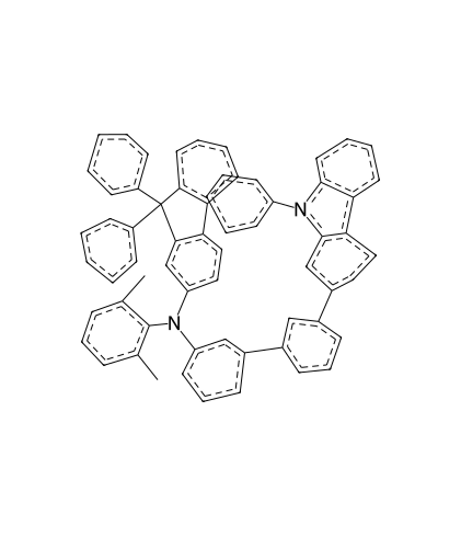 Cc1cccc(C)c1N(c1cccc(-c2cccc(-c3ccc4c5ccccc5n(-c5ccccc5)c4c3)c2)c1)c1ccc2c(c1)C(c1ccccc1)(c1ccccc1)c1ccccc1-2